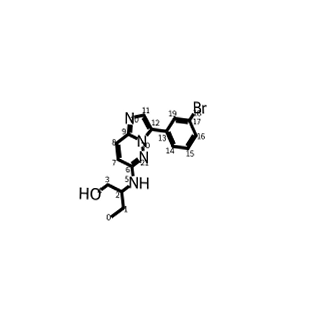 CCC(CO)Nc1ccc2ncc(-c3cccc(Br)c3)n2n1